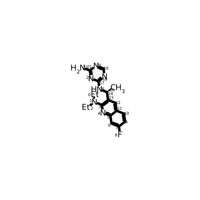 CCN(CC)c1nc2cc(F)ccc2cc1[C@H](C)Nc1ncnc(N)n1